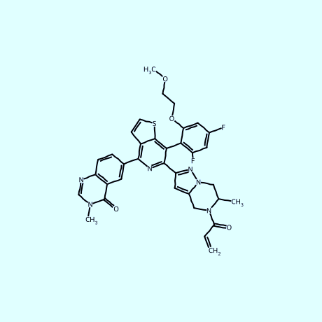 C=CC(=O)N1Cc2cc(-c3nc(-c4ccc5ncn(C)c(=O)c5c4)c4ccsc4c3-c3c(F)cc(F)cc3OCCOC)nn2CC1C